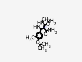 CN/C(OC)=C(\C(=N)c1ccc(OC(C)C)c(C)c1)C(N)=O